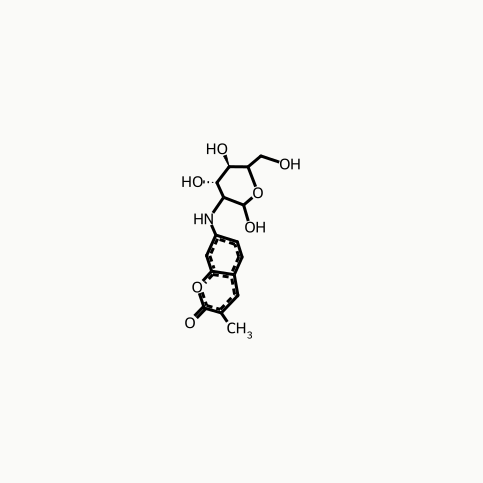 Cc1cc2ccc(NC3C(O)OC(CO)[C@H](O)[C@H]3O)cc2oc1=O